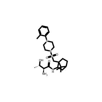 Cc1ccccc1N1CCN(S(=O)(=O)CC23CCC(CC2NC(=O)[C@@H](N)[C@H](C)O)C3(C)C)CC1